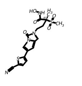 C[C@@](CCN1Cc2cc(-c3ccc(C#N)s3)cn2C1=O)(C(=O)NO)S(C)(=O)=O